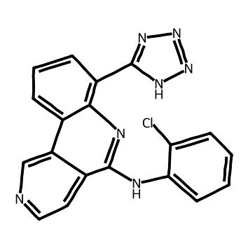 Clc1ccccc1Nc1nc2c(-c3nnn[nH]3)cccc2c2cnccc12